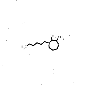 CCCCCCN1CCCCC(C)C1C